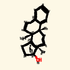 CC[C@@]12CC[C@@H]3c4cc[c]cc4CC[C@H]3[C@@H]1CC[C@@H]2O